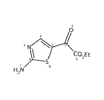 CCOC(=O)C(=O)c1cnc(N)s1